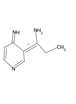 CC/C(N)=C1\C=NC=CC1=N